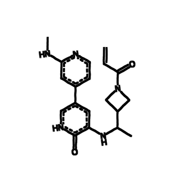 C=CC(=O)N1CC(C(C)Nc2cc(-c3ccnc(NC)c3)c[nH]c2=O)C1